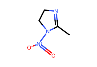 CC1=NCCN1[N+](=O)[O-]